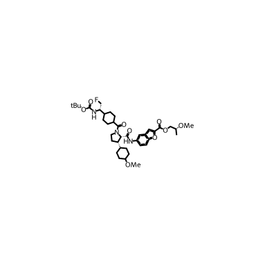 COC1CCC([C@@H]2CCN(C(=O)C3CCC([C@@H](CF)NC(=O)OC(C)(C)C)CC3)[C@@H]2C(=O)Nc2ccc3oc(C(=O)OC[C@@H](C)OC)cc3c2)CC1